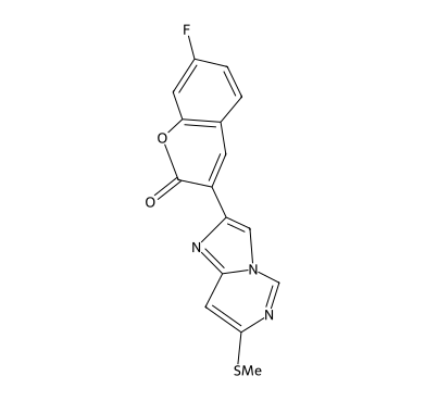 CSc1cc2nc(-c3cc4ccc(F)cc4oc3=O)cn2cn1